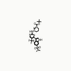 CN(C)S(=O)(=O)c1ccc2c(-c3nc(N[SH]4CCCN(C(=O)OC(C)(C)C)C4)ncc3C(F)(F)F)c[nH]c2c1